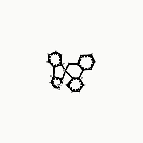 c1ccc2c(c1)C[Si]1(c3ccccc3-2)c2ccccc2-c2ccccc21